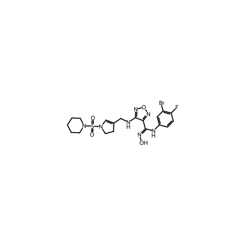 O=S(=O)(N1C=C(CNc2nonc2/C(=N/O)Nc2ccc(F)c(Br)c2)CC1)N1CCCCC1